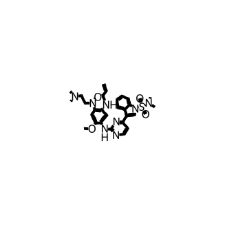 C=CC(=O)Nc1cc(Nc2nccc(-c3cn(S(=O)(=O)N(C)C)c4ccccc34)n2)c(OC)cc1N(C)CCN(C)C